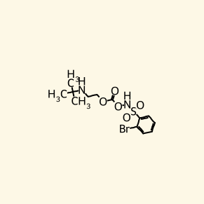 CC(C)(C)NCCOC(=O)ONS(=O)(=O)c1ccccc1Br